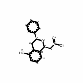 O=[N+]([O-])C[C@@H]1O[C@H](c2ccccc2)Cc2c(O)cccc21